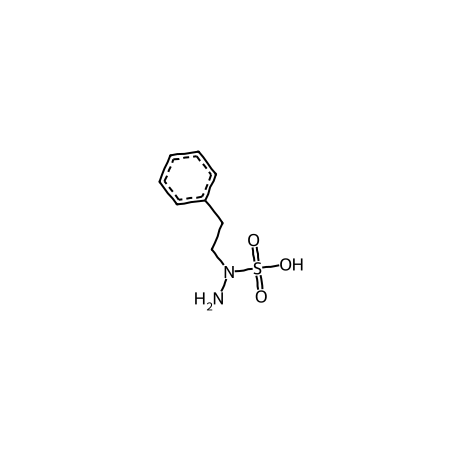 NN(CCc1ccccc1)S(=O)(=O)O